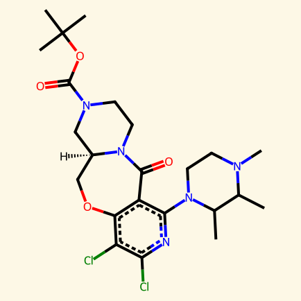 CC1C(C)N(c2nc(Cl)c(Cl)c3c2C(=O)N2CCN(C(=O)OC(C)(C)C)C[C@@H]2CO3)CCN1C